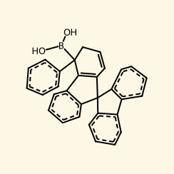 OB(O)C1(c2ccccc2)CC=CC2=C1c1ccccc1C21c2ccccc2-c2ccccc21